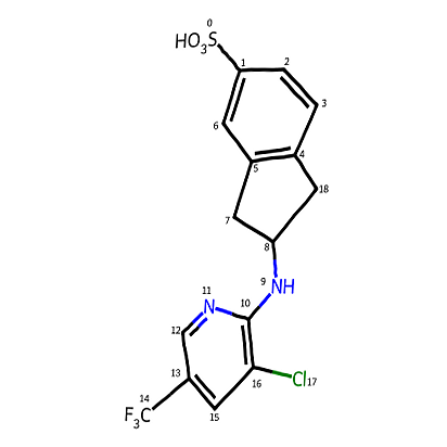 O=S(=O)(O)c1ccc2c(c1)CC(Nc1ncc(C(F)(F)F)cc1Cl)C2